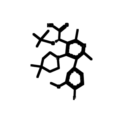 COc1cc(-c2c(C)nc(C)c([C@H](OC(C)(C)C)C(=O)O)c2N2CCC(C)(C)CC2)ccc1F